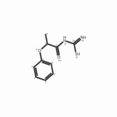 CC(Oc1ccccc1)C(=O)NC(=N)S